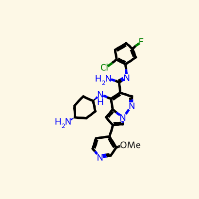 COc1cnccc1-c1cc2c(N[C@H]3CC[C@H](N)CC3)c(/C(N)=N/c3cc(F)ccc3Cl)cnn2c1